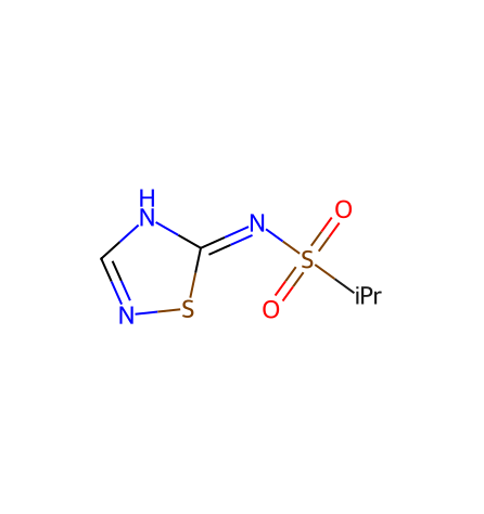 CC(C)S(=O)(=O)/N=c1/[nH]cns1